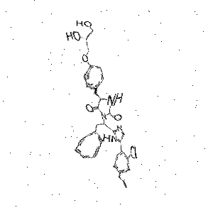 O=C1N[C@H](c2ccc(OC[C@H](O)CO)cc2)C(=O)N1C(Cc1ccccc1)c1ncc(-c2ccc(I)cc2Cl)[nH]1